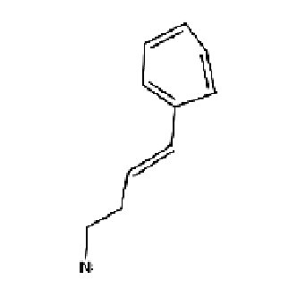 [N]CCC=Cc1ccccc1